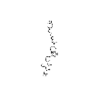 C/C(=N\OCCCN1CCOCC1)c1ccn2c(-c3cccc(NC(=O)NCC(F)(F)F)c3)cnc2c1